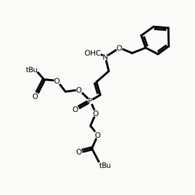 CC(C)(C)C(=O)OCOP(=O)(/C=C/CN(C=O)OCc1ccccc1)OCOC(=O)C(C)(C)C